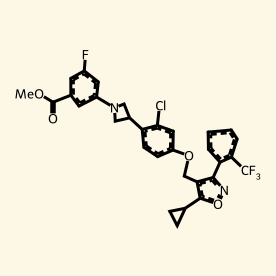 COC(=O)c1cc(F)cc(N2CC(c3ccc(OCc4c(-c5ccccc5C(F)(F)F)noc4C4CC4)cc3Cl)C2)c1